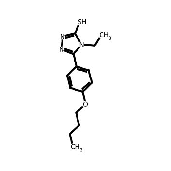 CCCCOc1ccc(-c2nnc(S)n2CC)cc1